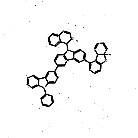 C[C@H]1C=Cc2ccccc2C1n1c2ccc(-c3ccc4c(c3)c3ccccc3n4-c3ccccc3)cc2c2cc(-c3cccc4c3C3C=CC=CC3(C)O4)ccc21